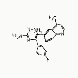 NC(N)=N/C(=C(\N)c1ccc2nccc(C(F)(F)F)c2c1)c1ccc(F)cc1